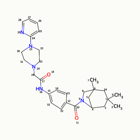 CC1(C)CC2CC(C)(CN2C(=O)c2ccc(NC(=O)CN3CCN(c4ccccn4)CC3)cc2)C1